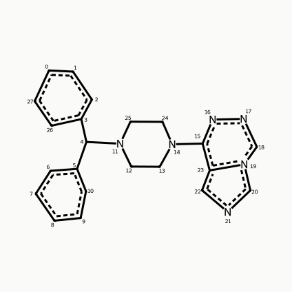 c1ccc(C(c2ccccc2)N2CCN(c3nncn4cncc34)CC2)cc1